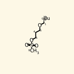 CC[C@H](C)COCCCOS(C)(=O)=O